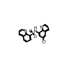 O=S(=O)(Nc1cc(Cl)cc2cccnc12)c1cccc2cccnc12